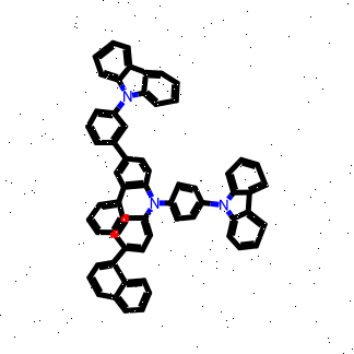 c1ccc(-c2cc(-c3cccc(-n4c5ccccc5c5ccccc54)c3)ccc2N(c2ccc(-c3cccc4ccccc34)cc2)c2ccc(-n3c4ccccc4c4ccccc43)cc2)cc1